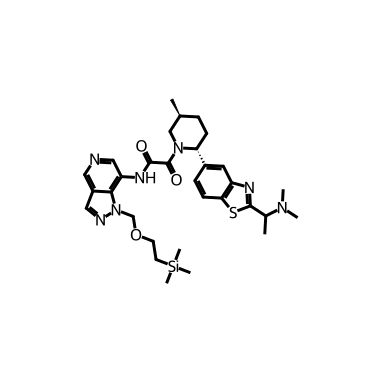 CC(c1nc2cc([C@H]3CC[C@H](C)CN3C(=O)C(=O)Nc3cncc4cnn(COCC[Si](C)(C)C)c34)ccc2s1)N(C)C